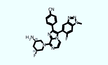 Cn1nnc2cc(-c3c(-c4ccc(C#N)cc4)nc4c(N5C[C@H](N)C[C@H](F)C5)nccn34)c(F)cc21